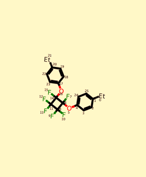 CCc1ccc(OC2(F)C(F)(F)C(F)(F)C2(F)Oc2ccc(CC)cc2)cc1